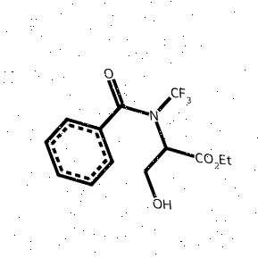 CCOC(=O)C(CO)N(C(=O)c1ccccc1)C(F)(F)F